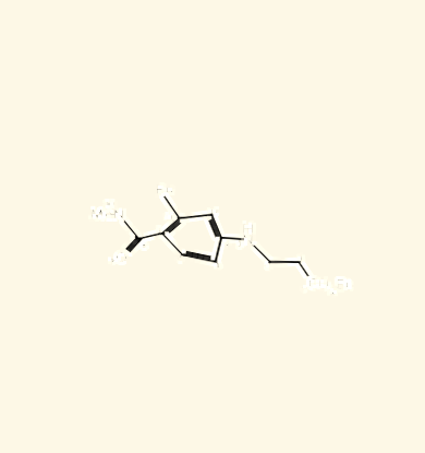 CCOC(=O)CCNc1ccc(C(=O)NC)c(F)c1